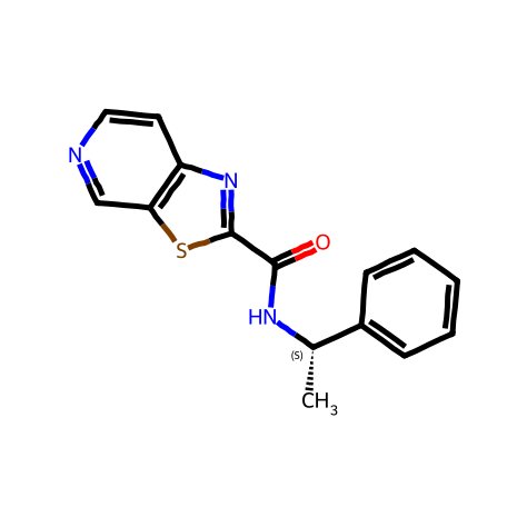 C[C@H](NC(=O)c1nc2ccncc2s1)c1ccccc1